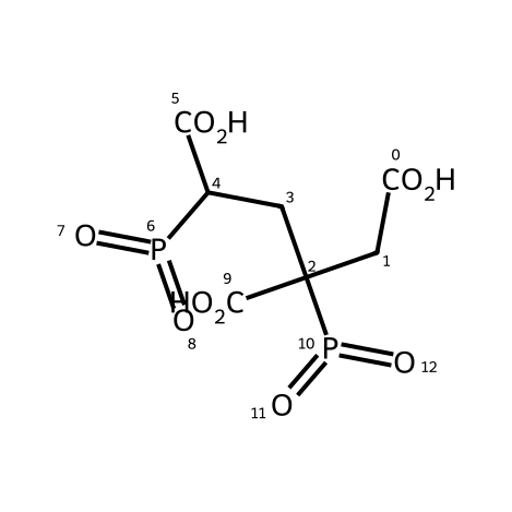 O=C(O)CC(CC(C(=O)O)P(=O)=O)(C(=O)O)P(=O)=O